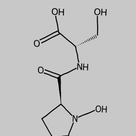 O=C(O)[C@H](CO)NC(=O)[C@@H]1CCCN1O